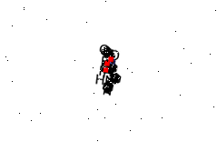 CN1CCC(Nc2ccccc2Sc2ccc(/C=C/C(=O)N3CCOCC3)c(C(F)(F)F)c2C(F)(F)F)CC1